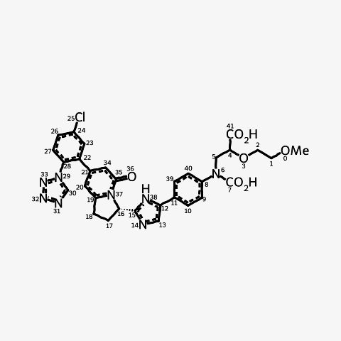 COCCOC(CN(C(=O)O)c1ccc(-c2cnc([C@@H]3CCc4cc(-c5cc(Cl)ccc5-n5cnnn5)cc(=O)n43)[nH]2)cc1)C(=O)O